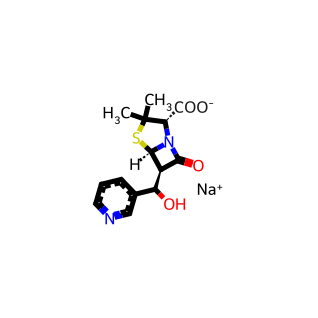 CC1(C)S[C@@H]2[C@H](C(O)c3cccnc3)C(=O)N2[C@H]1C(=O)[O-].[Na+]